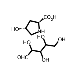 O=C(O)[C@@H]1C[C@@H](O)CN1.O=CC(O)C(O)C(O)CO